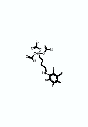 CCC(=O)O[Si](CCCCNc1c(F)c(F)c(F)c(F)c1F)(OC(=O)CC)OC(=O)CC